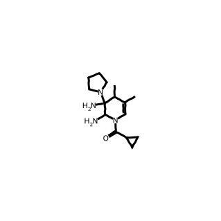 CC1=CN(C(=O)C2CC2)C(N)C(N)(N2CCCC2)C1C